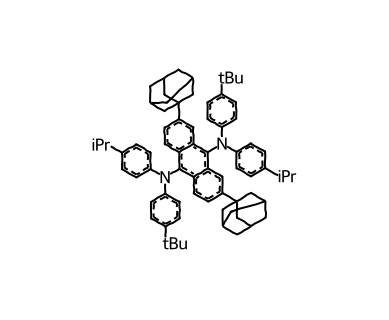 CC(C)c1ccc(N(c2ccc(C(C)(C)C)cc2)c2c3ccc(C45CC6CC(CC(C6)C4)C5)cc3c(N(c3ccc(C(C)C)cc3)c3ccc(C(C)(C)C)cc3)c3cc(C45CC6CC(CC(C6)C4)C5)ccc23)cc1